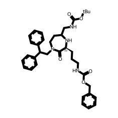 CC(C)(C)OC(=O)NCC1CCN(CC(c2ccccc2)c2ccccc2)C(=O)[C@H](CCCNC(=O)OCc2ccccc2)N1